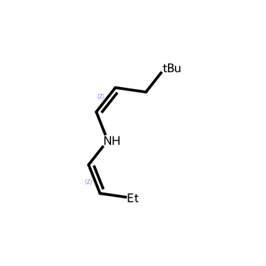 CC/C=C\N/C=C\CC(C)(C)C